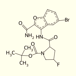 CC(C)(C)OC(=O)N1CC(F)CC1C(=O)Nc1c(C(N)=O)oc2ccc(Br)cc12